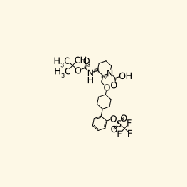 CC(C)(C)OC(=O)N[C@H]1CCCN(C(=O)O)[C@H]1COC1CCC(c2ccccc2OS(=O)(=O)C(F)(F)F)CC1